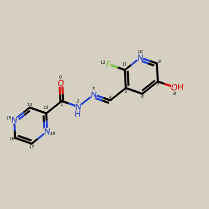 O=C(NN=Cc1cc(O)cnc1F)c1cnccn1